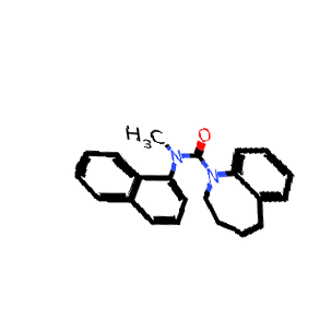 CN(C(=O)N1CCCCc2ccccc21)c1cccc2ccccc12